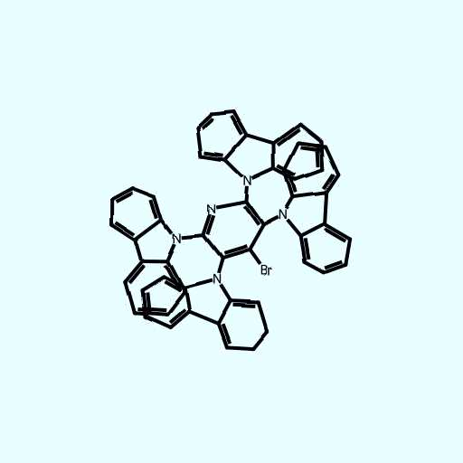 Brc1c(-n2c3c(c4ccccc42)=CCCC=3)c(-n2c3ccccc3c3ccccc32)nc(-n2c3ccccc3c3ccccc32)c1-n1c2ccccc2c2ccccc21